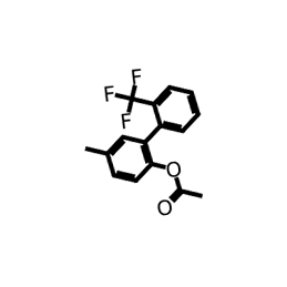 CC(=O)Oc1ccc(C)cc1-c1ccccc1C(F)(F)F